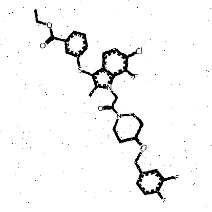 CCOC(=O)c1cccc(Sc2c(C)n(CC(=O)N3CCC(OCc4ccc(F)c(F)c4)CC3)c3c(F)c(Cl)ccc23)c1